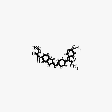 Cc1cc2nc(C)n(C3CCN(CC4Cc5ccc(NC(=O)OC(C)(C)C)cc5C4)CC3)c2cn1